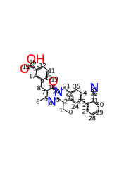 CCCc1nc(C)c(Cc2cccc(C(=O)O)c2)c(=O)n1Cc1ccc(-c2ccccc2C#N)cc1